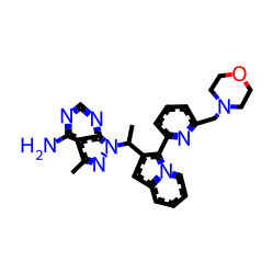 Cc1nn(C(C)c2cc3ccccn3c2-c2cccc(CN3CCOCC3)n2)c2ncnc(N)c12